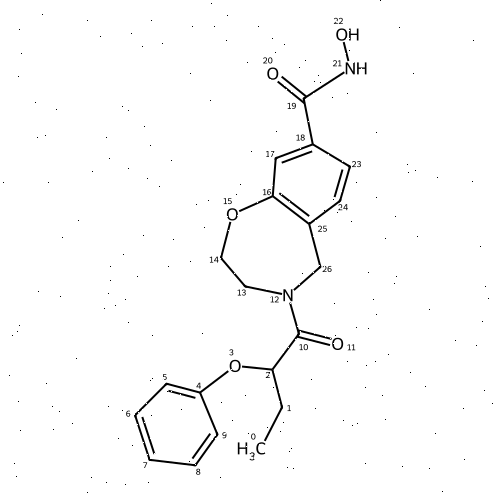 CCC(Oc1ccccc1)C(=O)N1CCOc2cc(C(=O)NO)ccc2C1